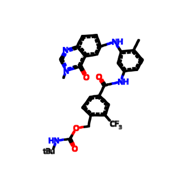 Cc1ccc(NC(=O)c2ccc(COC(=O)NC(C)(C)C)c(C(F)(F)F)c2)cc1Nc1ccc2ncn(C)c(=O)c2c1